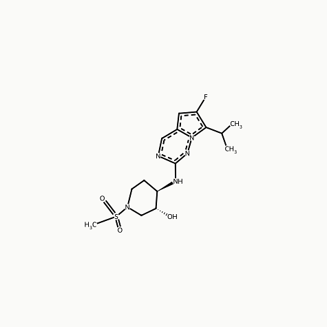 CC(C)c1c(F)cc2cnc(N[C@@H]3CCN(S(C)(=O)=O)C[C@H]3O)nn12